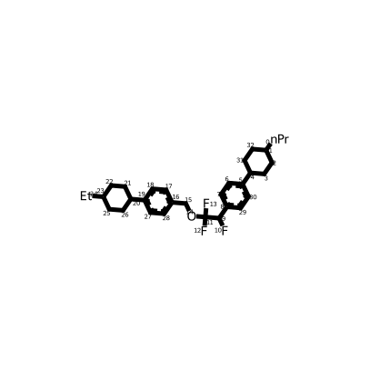 CCCC1CCC(c2ccc(C(F)C(F)(F)OCc3ccc(C4CCC(CC)CC4)cc3)cc2)CC1